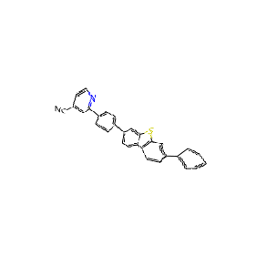 N#Cc1ccnc(-c2ccc(-c3ccc4c(c3)sc3cc(-c5ccccc5)ccc34)cc2)c1